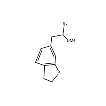 CCC(Cc1ccc2c(c1)SCC2)NC